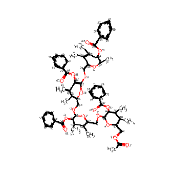 CC(=O)OCC1OC(OCC2OC(OCC3OC(OCC4OC(C)C(OC(=O)c5ccccc5)C(C)C4C)C(OC(=O)c4ccccc4)C(C)C3C)C(OC(=O)c3ccccc3)C(C)C2C)C(OC(=O)c2ccccc2)C(C)C1C